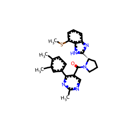 CSc1cccc2nc([C@@H]3CCCN3C(=O)c3cnc(C)nc3-c3ccc(C)c(C)c3)[nH]c12